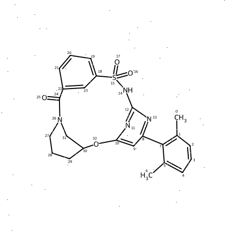 Cc1cccc(C)c1-c1cc2nc(n1)NS(=O)(=O)c1cccc(c1)C(=O)N1CCCC(C1)O2